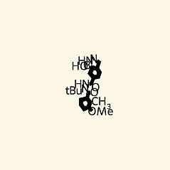 COc1cccc(C(=O)N(NC(=O)c2ccc3c(c2)B(O)NN=C3)C(C)(C)C)c1C